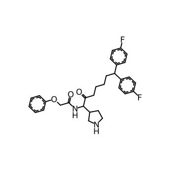 O=C(COc1ccccc1)NC(C(=O)CCCCC(c1ccc(F)cc1)c1ccc(F)cc1)C1CCNC1